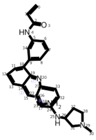 C=CC(=O)Nc1cccc(C2=CC=CC(=C/N=C/N)/C2=N\c2ccc(NC3CCN(C)C3)cc2)c1